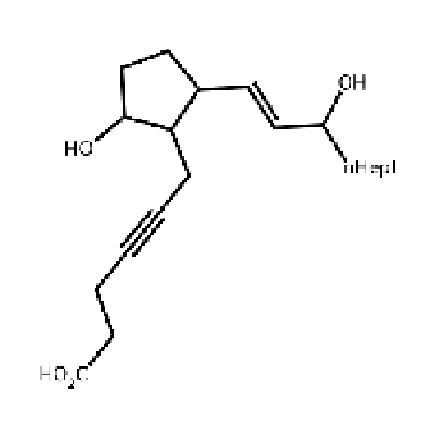 CCCCCCCC(O)C=CC1CCC(O)C1CC#CCCC(=O)O